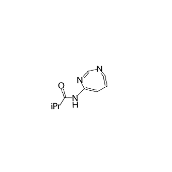 CC(C)C(=O)NC1=CC=C=NC=N1